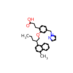 CCCC(COc1cc(Cn2cccn2)ccc1CCC(=O)O)c1ccc(C)c2ccccc12